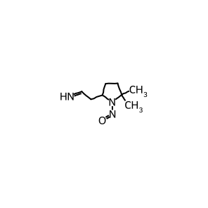 CC1(C)CCC(CC=N)N1N=O